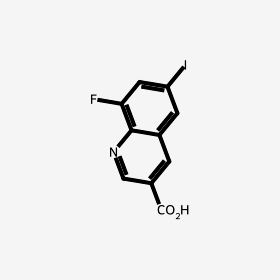 O=C(O)c1cnc2c(F)cc(I)cc2c1